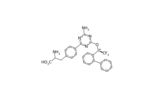 Nc1nc(O[C@H](c2ccccc2-c2ccccc2)C(F)(F)F)nc(-c2ccc(CC(N)C(=O)O)cc2)n1